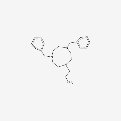 CCCN1CCN(Cc2ccccc2)CCN(Cc2ccccc2)CC1